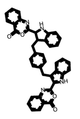 O=c1oc(-c2[nH]c3ccccc3c2Cc2ccc(CC3c4ccccc4NC3c3nc4ccccc4c(=O)o3)cc2)nc2ccccc12